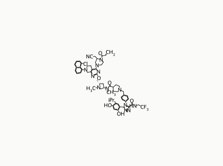 C=CC(=O)N1CCN(c2nc(OC[C@@H]3C[C@@H](N(C)C(=O)C4CCN(Cc5ccc(-n6c(C(=O)NCC(F)(F)F)nnc6-c6cc(C(C)C)c(O)cc6O)cc5)CC4)CN3C)nc3c2CCN(c2cccc4cccc(Cl)c24)C3)CC1CC#N